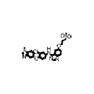 Cn1cnc2cc(Oc3ccc(Nc4ncnc5ccc(OCCCS(C)(=O)=O)cc45)cc3Cl)ccc21